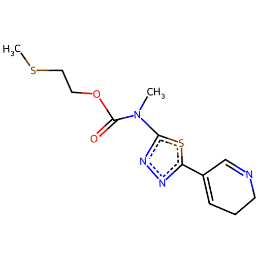 CSCCOC(=O)N(C)c1nnc(C2=CCCN=C2)s1